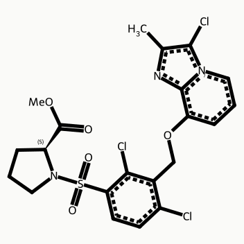 COC(=O)[C@@H]1CCCN1S(=O)(=O)c1ccc(Cl)c(COc2cccn3c(Cl)c(C)nc23)c1Cl